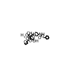 CC1(C)O[C@H]2[C@H](OC(=O)c3ccco3)[C@H](O)CO[C@@]2(CN2CCC(NC(=O)OCc3ccccc3)CC2)O1